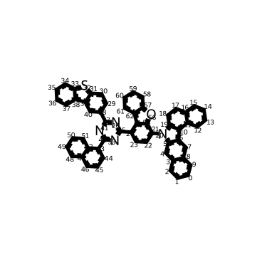 c1ccc2cc3c(cc2c1)c1c2ccccc2ccc1n3-c1ccc(-c2nc(-c3ccc4sc5ccccc5c4c3)nc(-c3cccc4ccccc34)n2)c2c1oc1ccccc12